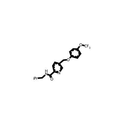 CC(C)CNC(=O)c1ccc(COc2ccc(OC(F)(F)F)cc2)cn1